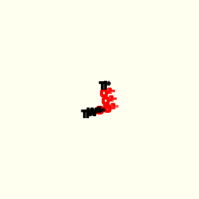 [O-2].[O-2].[O-2].[O-2].[Tl+].[Tl+].[W+6]